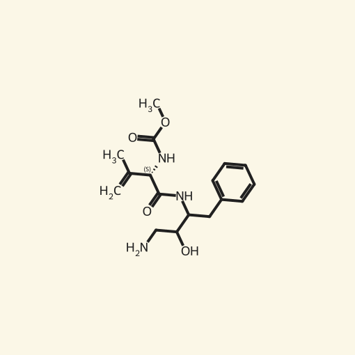 C=C(C)[C@H](NC(=O)OC)C(=O)NC(Cc1ccccc1)C(O)CN